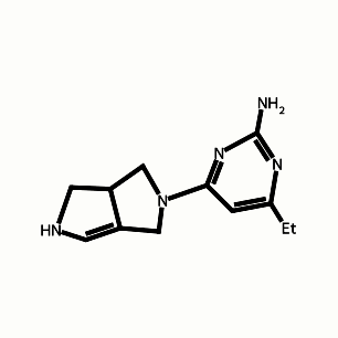 CCc1cc(N2CC3=CNCC3C2)nc(N)n1